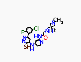 CCC1(CNCC(=O)Nc2cc(Nc3cc(-c4cc(Cl)ccc4F)nnc3S)ccn2)CN(C)C1